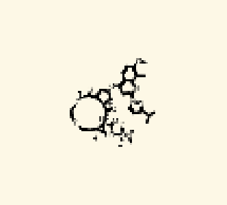 COc1ccc2c(O[C@@H]3C[C@H]4C(=O)N[C@]5(C(=O)NS(=O)(=O)N(C)C)C[C@H]5/C=C\CCCCN(C)C(=O)[C@@H]4C3)cc(-n3ccc(C(C)C)n3)nc2c1C